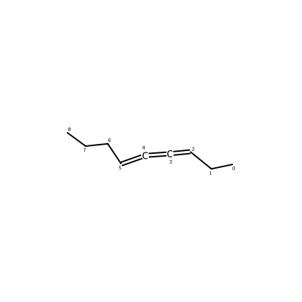 CCC=C=C=CCCC